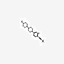 C=CC1CCC(C2CCC(c3ccc(C#CC(F)(F)F)c(F)c3)CC2)CC1